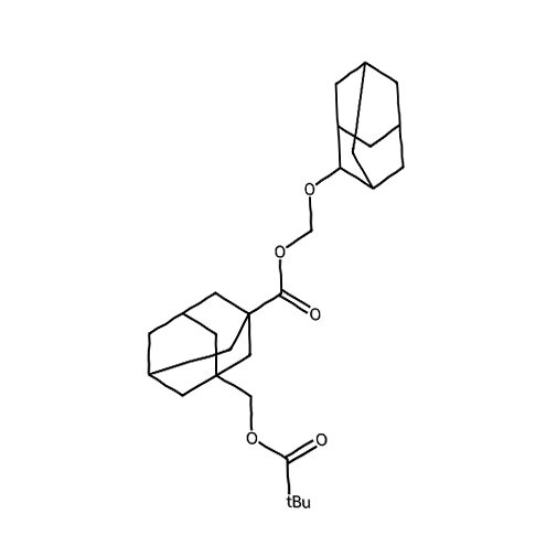 CC(C)(C)C(=O)OCC12CC3CC(C1)CC(C(=O)OCOC1C4CC5CC(C4)CC1C5)(C3)C2